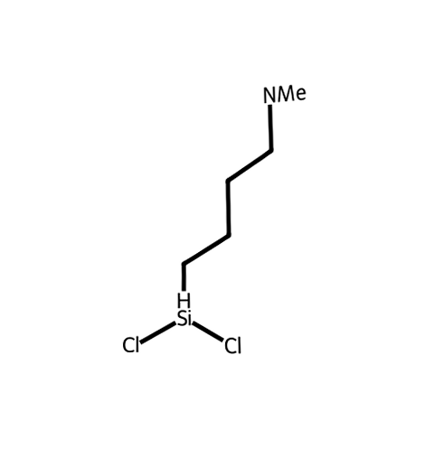 CNCCCC[SiH](Cl)Cl